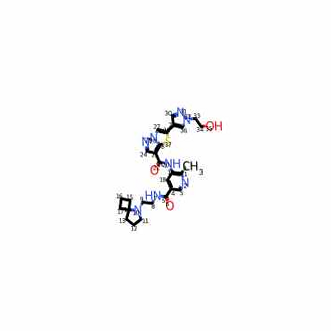 Cc1ncc(C(=O)NCCN2CCCC23CCC3)cc1NC(=O)c1cnn2cc(-c3cnn(CCO)c3)sc12